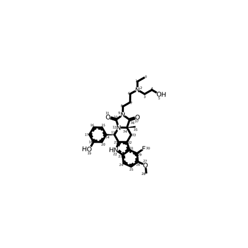 CCN(CCO)CCCN1C(=O)N2[C@H](c3cccc(O)c3)c3[nH]c4ccc(OC)c(F)c4c3C[C@@]2(C)C1=O